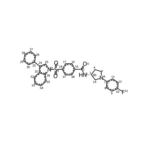 O=C(N[C@@H]1CCN(c2ccc(F)cc2)C1)c1ccc(S(=O)(=O)n2cc(-c3ccccc3)c3ccccc32)cc1